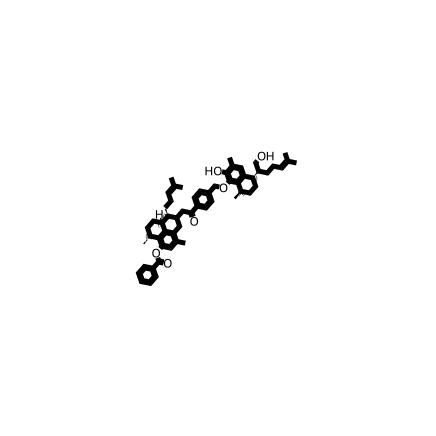 CC(C)=CCCC(CO)[C@@H]1CC[C@@H](C)c2c1cc(C)c(O)c2OCc1ccc(C(=O)CC2Cc3c(C)cc(OC(=O)c4ccccc4)c4c3[C@@H](CC[C@H]4C)[C@@H]2CCC=C(C)C)cc1